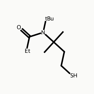 CCC(=O)N(C(C)(C)C)C(C)(C)CCS